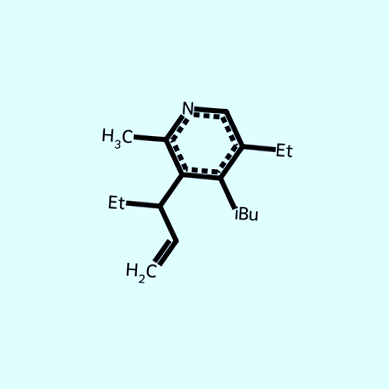 C=CC(CC)c1c(C)ncc(CC)c1C(C)CC